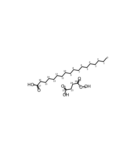 CCCCCCCCCCCCCCCCCC(=O)O.O=C(O)CCC(=O)OO